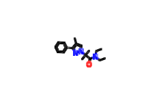 CCN(CC)C(=O)C(C)(C)n1cc(C)c(-c2ccccc2)n1